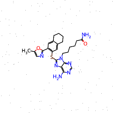 Cc1cnc(-c2cc3c(cc2Sc2nc4c(N)ncnc4n2CCCCCC(N)=O)CCCC3)o1